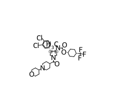 CN(C(=O)O[C@H]1CC[C@H](C(F)(F)F)CC1)[C@@H]1CN(C(=O)C2CCN(C3CCOCC3)CC2)C[C@@H]1c1ccc(Cl)c(Cl)c1